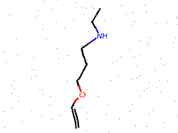 C=COCCCNCC